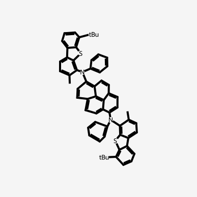 Cc1ccc2c(sc3c(C(C)(C)C)cccc32)c1N(c1ccccc1)c1ccc2ccc3c(N(c4ccccc4)c4c(C)ccc5c4sc4c(C(C)(C)C)cccc45)ccc4ccc1c2c43